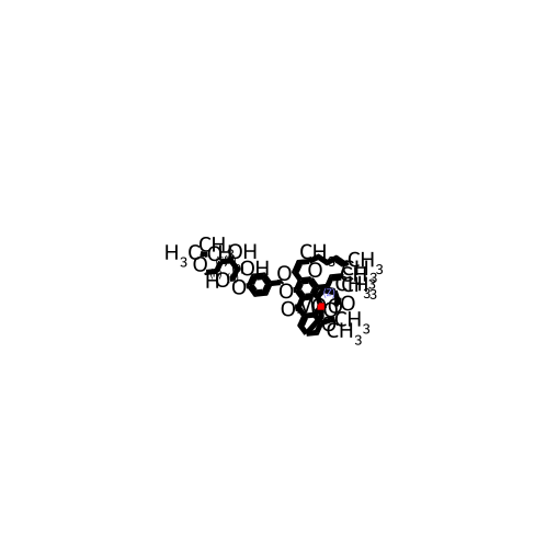 COC(=O)/C(C)=C\CC12OC(C)(C)C3CC(C=C4C(=O)c5c(OC(=O)c6ccc(O[C@@H]7O[C@@H]8COC(C)(C)O[C@H]8[C@H](O)[C@H]7O)cc6)c6c(c(CC=C(C)C)c5OC431)OC(C)(CCC=C(C)C)C=C6)C2=O